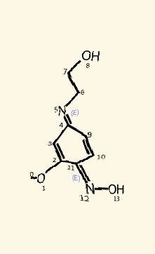 COC1=CC(=N/CCO)/C=CC/1=N\O